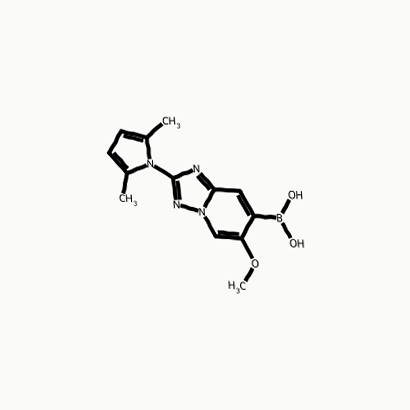 COc1cn2nc(-n3c(C)ccc3C)nc2cc1B(O)O